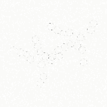 c1ccc(-c2ccc(-c3nc(-c4ccc5ccccc5c4)nc(-c4ccc5c(oc6cc7ccccc7cc65)c4-n4c5ccccc5c5cc6cc(-c7cccc8cc9c(cc78)c7cc8ccccc8cc7n9-c7c(-c8nc(-c9ccc%10ccccc%10c9)nc(-c9ccc%10ccccc%10c9)n8)ccc8c7oc7cc9ccccc9cc78)ccc6cc54)n3)cc2)cc1